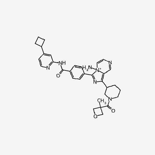 CC1(C(=O)N2CCCC(C3=C4C=NC=C[N+]4(N)C(c4ccc(C(=O)Nc5cc(C6CCC6)ccn5)cc4)=N3)C2)COC1